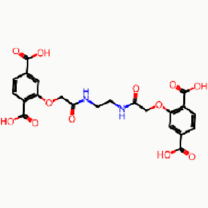 O=C(COc1cc(C(=O)O)ccc1C(=O)O)NCCNC(=O)COc1cc(C(=O)O)ccc1C(=O)O